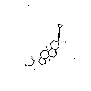 C[C@]12CC[C@H]3[C@@H](CC=C4C[C@](O)(C#CC5CC5)CC[C@@H]43)[C@@H]1CC[C@@H]2C(=O)CBr